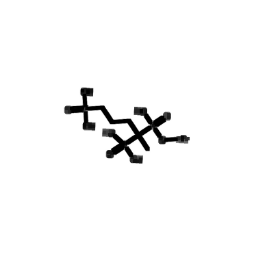 CCCOP(=O)(O)C(C)(CCCP(=O)(O)O)P(=O)(O)O